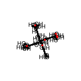 CC(=O)NC1C(OCCCCCCNC(=O)CCOCC(COCCC(=O)NCCCCCCO[C@@H]2O[C@H](CO)[C@H](O)[C@H](O)[C@H]2NC(C)=O)(COCCC(=O)NCCCCCCO[C@@H]2O[C@H](CO)[C@H](O)[C@H](O)[C@H]2NC(C)=O)NC(=O)CCCC(=O)NCCCCCCOP(=O)(O)OI)OCC(O)C[C@H](O)[C@@H]1O